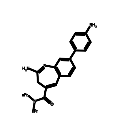 CCCN(CCC)C(=O)C1=Cc2ccc(-c3ccc(N)cc3)cc2N=C(N)C1